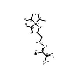 CC(C)[Si](OCCNN=C(Br)C(=O)O)(C(C)C)C(C)C